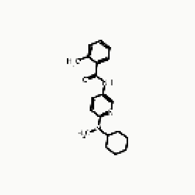 Cc1ccccc1C(=O)Nc1ccc(N(C)C2CCCCC2)nc1